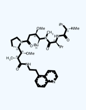 CC[C@H](C)C([C@@H](CC(=O)N1CCC[C@H]1[C@H](OC)[C@@H](C)C(=O)NCCc1cccc2ncccc12)OC)N(C)C(=O)[C@@H](NC(=O)[C@@H](NC)C(C)C)C(C)C